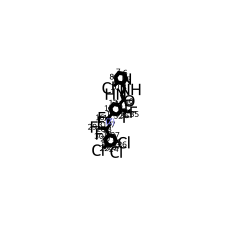 O=C(NNc1ncccc1Cl)c1ccc(/C(F)=C/C(c2cc(Cl)c(Cl)c(Cl)c2)C(F)(F)F)cc1C(F)(F)F